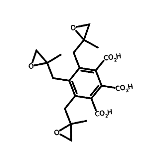 CC1(Cc2c(CC3(C)CO3)c(C(=O)O)c(C(=O)O)c(C(=O)O)c2CC2(C)CO2)CO1